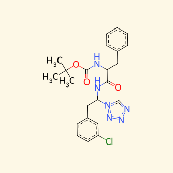 CC(C)(C)OC(=O)NC(Cc1ccccc1)C(=O)NC(Cc1cccc(Cl)c1)n1cnnn1